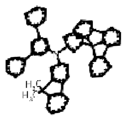 CC1(C)c2ccccc2-c2ccc(N(c3cc(-c4ccccc4)cc(-c4ccccc4)c3)c3cccc(C45c6ccccc6-c6cccc(c64)-c4ccccc45)c3)cc21